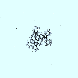 C1=CCC(C2(c3ccccc3)c3ccccc3-c3c(N(c4ccccc4)c4ccc5c(c4)c4ccccc4n5-c4ccccc4)cccc32)C=C1